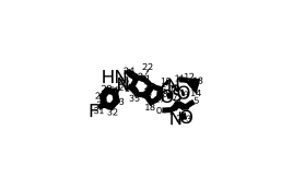 Cc1noc(C)c1S(=O)(=O)N(CC1CC1)C[C@H]1CCC2=C1[C@@H](C)C1=CNN(c3ccc(F)cc3)C1=C2